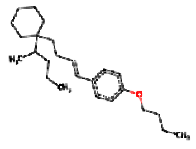 CCCCOc1ccc(/C=C/CCC2(C(C)CCC)CCCCC2)cc1